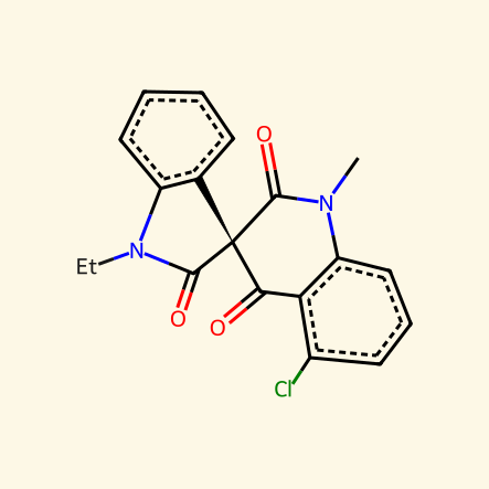 CCN1C(=O)[C@]2(C(=O)c3c(Cl)cccc3N(C)C2=O)c2ccccc21